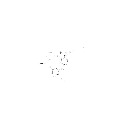 COc1ncc(Cl)cc1Nc1ncc2c(n1)n(C1CCCC(CC#N)C1)c(=O)n2COCC[Si](C)(C)C